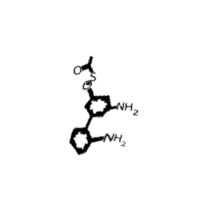 CC(=O)SOc1cc(N)cc(-c2ccccc2N)c1